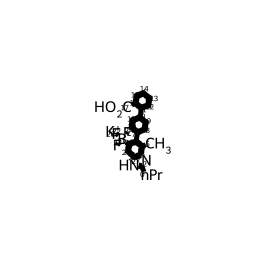 CCCc1nc2c(C)c(-c3ccc(-c4ccccc4C(=O)O)cc3)c([B-](F)(F)F)cc2[nH]1.[K+]